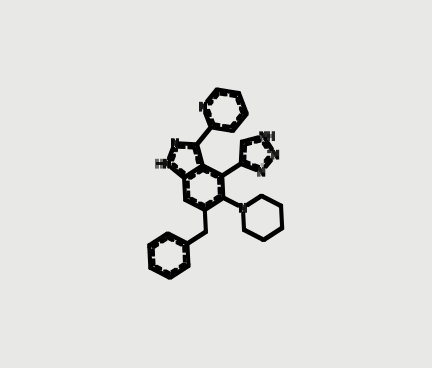 c1ccc(Cc2cc3[nH]nc(-c4ccccn4)c3c(-c3c[nH]nn3)c2N2CCCCC2)cc1